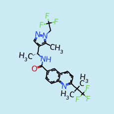 Cc1c([C@@H](C)NC(=O)c2ccc3nc(C(C)(C)C(F)(F)F)ccc3c2)cnn1CC(F)(F)F